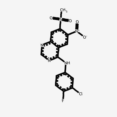 CS(=O)(=O)c1cc2ncnc(Nc3ccc(F)c(Cl)c3)c2cc1[N+](=O)[O-]